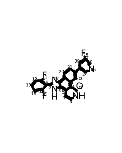 O=c1[nH]ccc2c3[nH]c(-c4c(F)cccc4F)nc3c3ccc(-c4cncc(F)c4)cc3c12